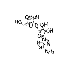 Nc1ncnc2c1ncn2[C@@H]1O[C@H](COC2O[C@H](CO)[C@@H](O)[C@H]2O)[C@@H](O)[C@H]1O